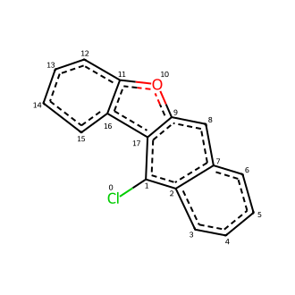 Clc1c2ccccc2cc2oc3ccccc3c12